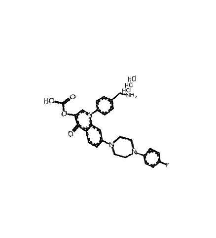 Cl.Cl.Cl.NCc1ccc(-n2cc(OC(=O)O)c(=O)c3ccc(N4CCN(c5ccc(F)cc5)CC4)cc32)cc1